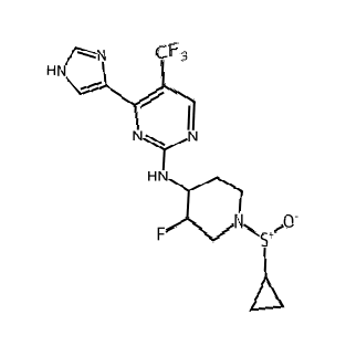 [O-][S+](C1CC1)N1CCC(Nc2ncc(C(F)(F)F)c(-c3c[nH]cn3)n2)C(F)C1